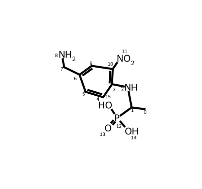 CC(Nc1ccc(CN)cc1[N+](=O)[O-])P(=O)(O)O